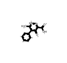 Cc1[nH]nc(C(=O)O)c(=O)c1-c1ccccc1